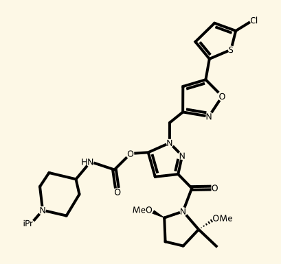 CO[C@@H]1CC[C@@](C)(OC)N1C(=O)c1cc(OC(=O)NC2CCN(C(C)C)CC2)n(Cc2cc(-c3ccc(Cl)s3)on2)n1